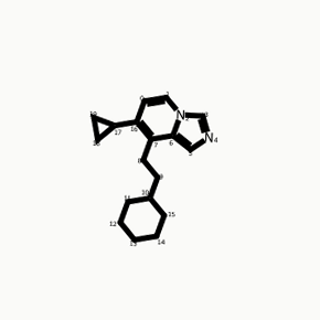 c1cn2cncc2c(CCC2CCCCC2)c1C1CC1